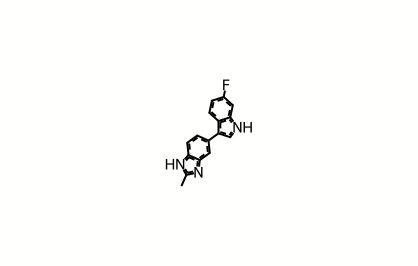 Cc1nc2cc(-c3c[nH]c4cc(F)ccc34)ccc2[nH]1